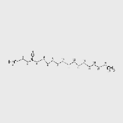 [CH2]CCC(=O)CCCCCCCCCCCCCCC